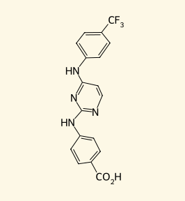 O=C(O)c1ccc(Nc2nccc(Nc3ccc(C(F)(F)F)cc3)n2)cc1